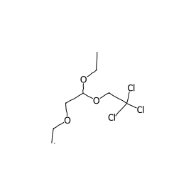 [CH2]COCC(OCC)OCC(Cl)(Cl)Cl